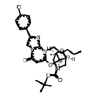 CCCCCn1c(O[C@@H]2[C@@H]3CN(C(=O)OC(C)(C)C)C[C@H]2O3)cc(=O)n2cc(-c3ccc(Cl)cc3)nc12